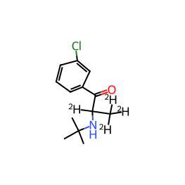 [2H]C([2H])([2H])C([2H])(NC(C)(C)C)C(=O)c1cccc(Cl)c1